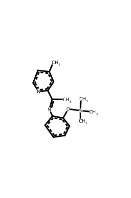 CC(=Nc1ccccc1O[Si](C)(C)C)c1cc(C)ccn1